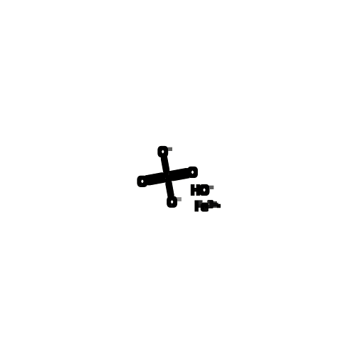 O=S(=O)([O-])[O-].[Fe+3].[OH-]